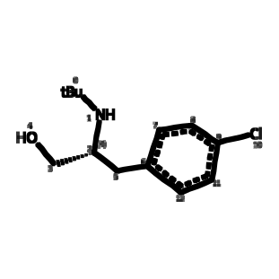 CC(C)(C)N[C@@H](CO)Cc1ccc(Cl)cc1